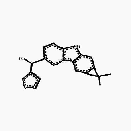 CC1(C)c2cc3[nH]c4ccc(C(c5ccsc5)C(C)(C)C)cc4c3cc21